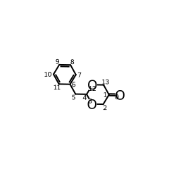 O=C1COC(Cc2ccccc2)OC1